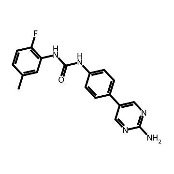 Cc1ccc(F)c(NC(=O)Nc2ccc(-c3cnc(N)nc3)cc2)c1